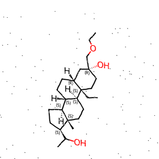 CCOC[C@@]1(O)CC[C@@]2(CC)[C@H](CC[C@H]3[C@@H]4CC[C@H](C(C)O)[C@@]4(C)CC[C@@H]32)C1